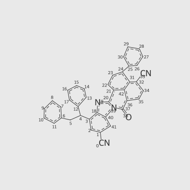 N#Cc1cc(C(Cc2ccccc2)c2ccccc2)c2nc3c4ccc(-c5ccccc5)c5c(C#N)ccc(c(=O)n3c2c1)c54